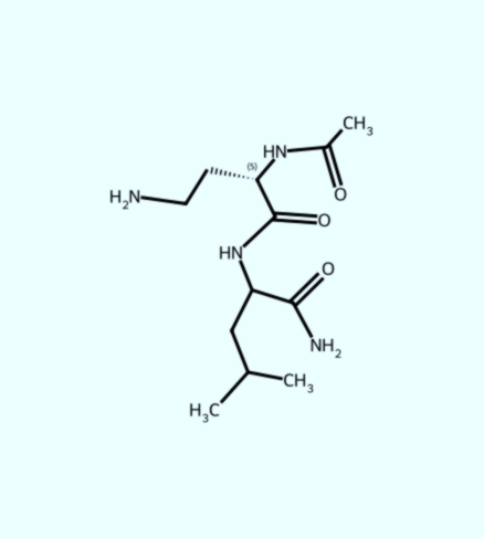 CC(=O)N[C@@H](CCN)C(=O)NC(CC(C)C)C(N)=O